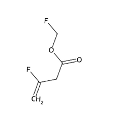 C=C(F)CC(=O)OCF